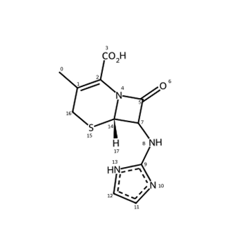 CC1=C(C(=O)O)N2C(=O)C(Nc3ncc[nH]3)[C@@H]2SC1